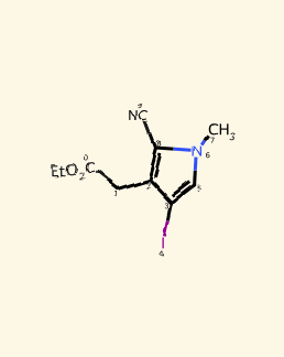 CCOC(=O)Cc1c(I)cn(C)c1C#N